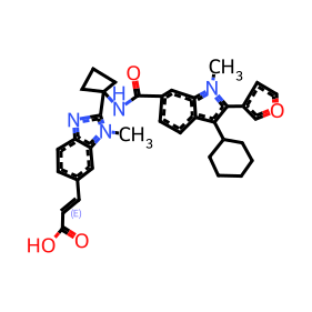 Cn1c(C2(NC(=O)c3ccc4c(C5CCCCC5)c(-c5ccoc5)n(C)c4c3)CCC2)nc2ccc(/C=C/C(=O)O)cc21